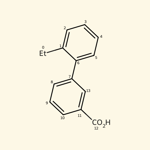 CCc1ccccc1-c1cccc(C(=O)O)c1